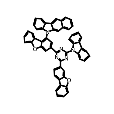 c1ccc2cc3c(cc2c1)c1ccccc1n3-c1cc(-c2nc(-c3ccc4c(c3)oc3ccccc34)nc(-n3c4ccccc4c4ccccc43)n2)cc2oc3ccccc3c12